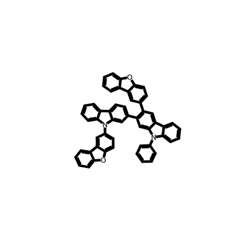 c1ccc(-n2c3ccccc3c3cc(-c4ccc5oc6ccccc6c5c4)c(-c4ccc5c6ccccc6n(-c6ccc7oc8ccccc8c7c6)c5c4)cc32)cc1